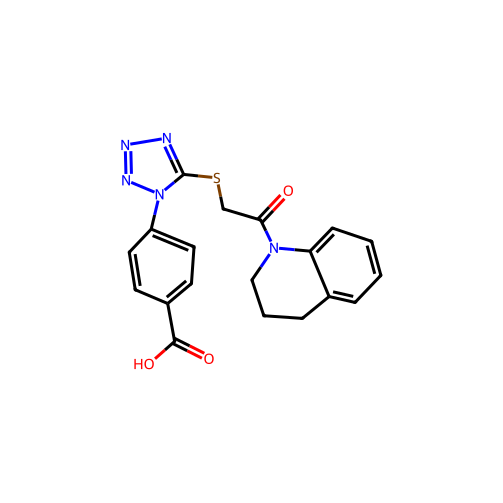 O=C(O)c1ccc(-n2nnnc2SCC(=O)N2CCCc3ccccc32)cc1